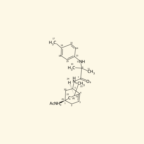 CC(=O)N[C@@]12CC=C(C(NC(=O)C(C)(C)Nc3ccc(C)cc3)C1)[C@H](C)C2